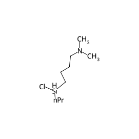 CCC[SiH](Cl)CCCCN(C)C